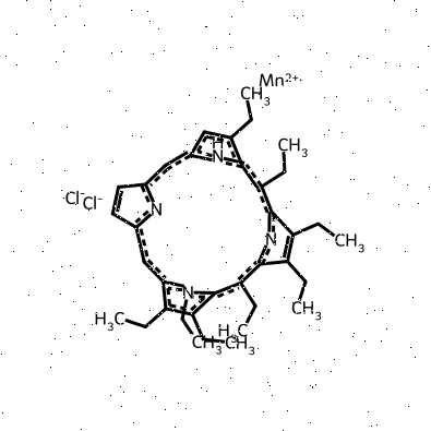 CCC1=C(CC)c2nc1c(CC)c1[nH]c(cc3nc(cc4c(CC)c(CC)c(c2CC)n4CC)C=C3)cc1CC.[Cl-].[Cl-].[Mn+2]